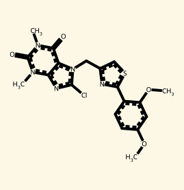 COc1ccc(-c2nc(Cn3c(Cl)nc4c3c(=O)n(C)c(=O)n4C)cs2)c(OC)c1